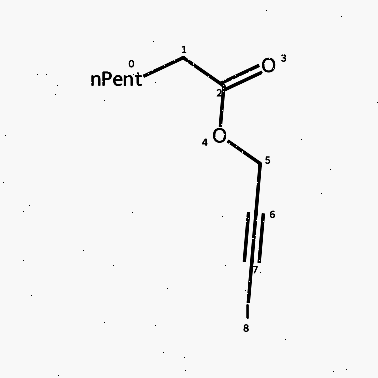 CCCCCCC(=O)OCC#CI